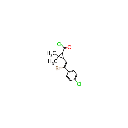 CC1(C)C(C=C(Br)c2ccc(Cl)cc2)C1C(=O)Cl